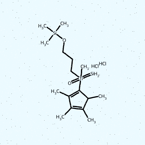 CC1=C(C)C(C)[C]([Ti]([CH3])(=[O])(=[SiH2])[CH2]CCO[Si](C)(C)C)=C1C.Cl.Cl